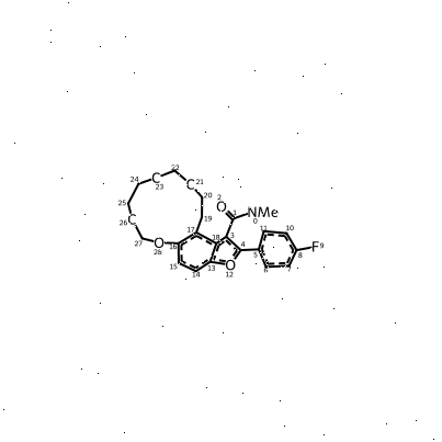 CNC(=O)c1c(-c2ccc(F)cc2)oc2ccc3c(c12)CCCCCCCCCO3